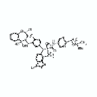 CC[C@@H]1CN(Cc2cc([C@@H](c3ccc4c(nnn4CC)c3C)C(C)(C)C(=O)Nc3cnc(CO[Si](C)(C)C(C)(C)C)nc3)ccc2C)S(O)(O)c2ccccc2O1